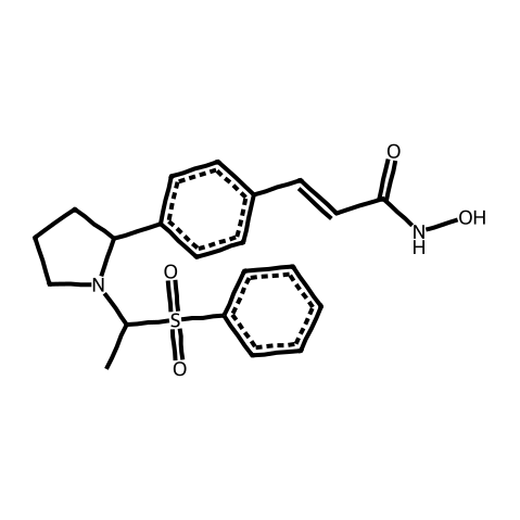 CC(N1CCCC1c1ccc(C=CC(=O)NO)cc1)S(=O)(=O)c1ccccc1